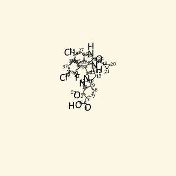 COc1c(C(=O)O)ccc2c3n(nc12)C1[C@H](C3)N(CC2CC2)[C@@]2(C(=O)Nc3cc(Cl)ccc32)[C@H]1c1cccc(Cl)c1F